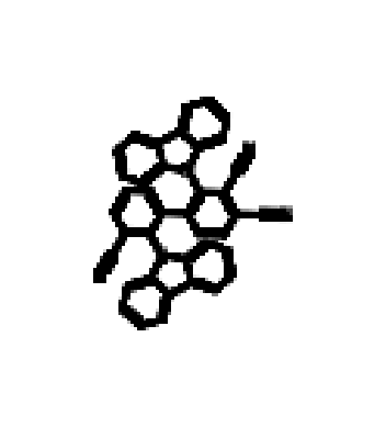 N#Cc1ccc(-c2cccc(C#N)c2-n2c3ccccc3c3ccccc32)c(-n2c3ccccc3c3ccccc32)c1C#N